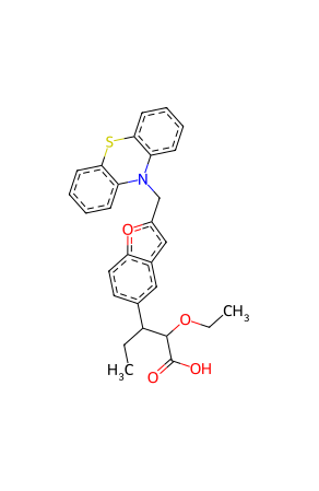 CCOC(C(=O)O)C(CC)c1ccc2oc(CN3c4ccccc4Sc4ccccc43)cc2c1